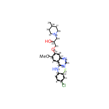 COc1cc2c(Nc3ccc(Cl)cc3F)ncnc2cc1OCC(O)CN1CCC(C)CC1